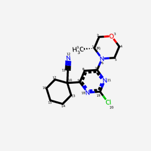 C[C@@H]1COCCN1c1cc(C2(C#N)CCCCC2)nc(Cl)n1